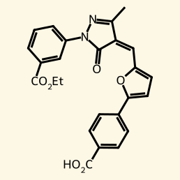 CCOC(=O)c1cccc(N2N=C(C)C(=Cc3ccc(-c4ccc(C(=O)O)cc4)o3)C2=O)c1